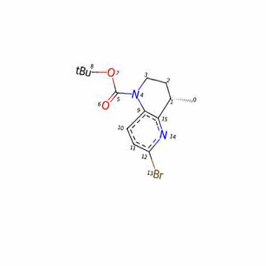 C[C@H]1CCN(C(=O)OC(C)(C)C)c2ccc(Br)nc21